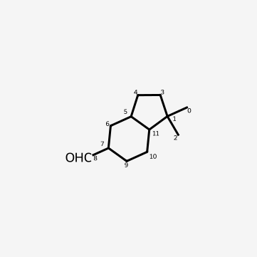 CC1(C)CCC2CC(C=O)CCC21